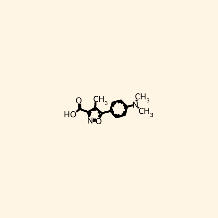 Cc1c(C(=O)O)noc1-c1ccc(N(C)C)cc1